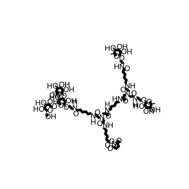 C[C@@H]1O[C@@H](OCCNC(=O)CCCCCNC(=O)CN(CC(=O)NCCCCCNC(=O)CN(CC(=O)NCCCCCC(=O)NCCO[C@H]2O[C@H](CO[C@H]3O[C@H](CO)[C@@H](O)[C@H](O)[C@@H]3O)[C@@H](O)[C@H](O[C@H]3O[C@H](CO)[C@@H](O)[C@H](O)[C@@H]3O)[C@@H]2O)CC(=O)NCCCCCC(=O)ON2C(=O)CCC2=O)CC(=O)NCCO[C@@H]2O[C@@H](C)[C@@H](O)[C@@H](O)[C@@H]2O)[C@@H](O)[C@H](O)[C@@H]1O